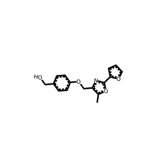 Cc1oc(-c2ccco2)nc1COc1ccc(CO)cc1